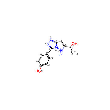 CC(O)c1cc2nnc(-c3ccc(O)cc3)n2[nH]1